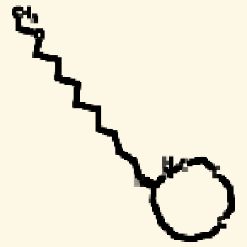 CCOCCCCCCCCCCN=C1CCCCCCCCCCCN1